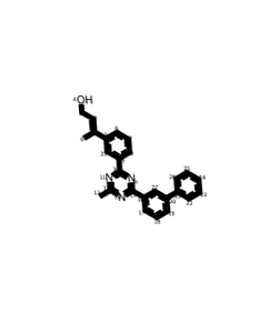 C/C(=C\CO)c1cccc(-c2nc(C)nc(-c3cccc(-c4ccccc4)c3)n2)c1